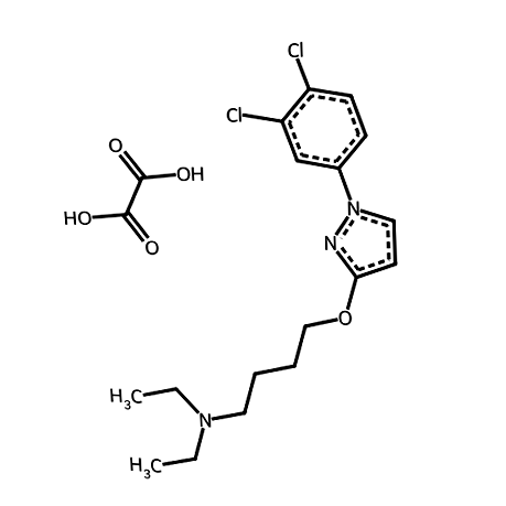 CCN(CC)CCCCOc1ccn(-c2ccc(Cl)c(Cl)c2)n1.O=C(O)C(=O)O